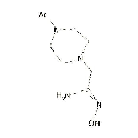 CC(=O)N1CCN(C/C(N)=N/O)CC1